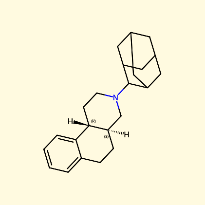 c1ccc2c(c1)CC[C@@H]1CN(C3C4CC5CC(C4)CC3C5)CC[C@@H]21